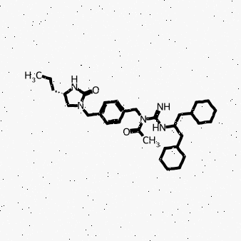 CCC[C@H]1CN(Cc2ccc(CN(C(=N)NC(CC3CCCCC3)CC3CCCCC3)C(C)=O)cc2)C(=O)N1